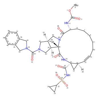 CC(C)(C)OC(=O)N[C@@H]1CCCCC/C=C\[C@H]2C[C@@]2(C(=O)NS(=O)(=O)C2CC2)NC(=O)[C@@H]2[C@H]3CN(C(=O)N4Cc5ccccc5C4)C[C@H]3CN2C1=O